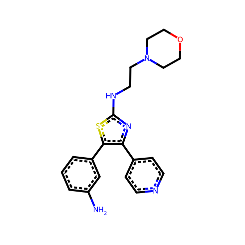 Nc1cccc(-c2sc(NCCN3CCOCC3)nc2-c2ccncc2)c1